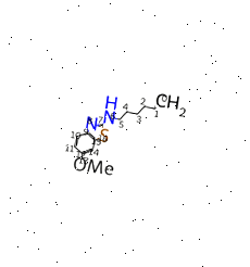 C=CCCCCNc1nc2ccc(OC)cc2s1